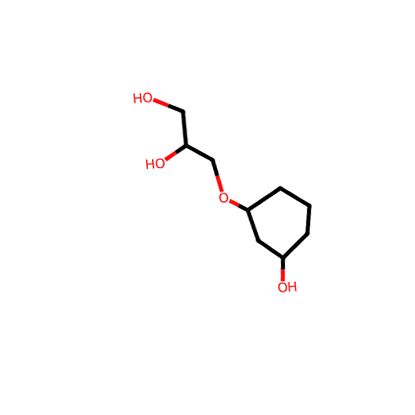 OCC(O)COC1CCCC(O)C1